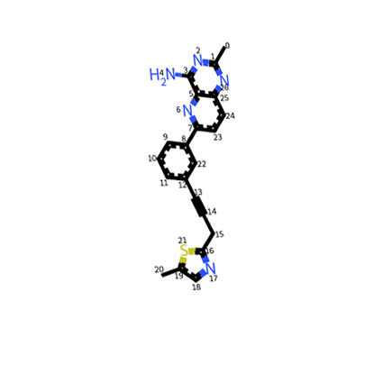 Cc1nc(N)c2nc(-c3cccc(C#CCc4ncc(C)s4)c3)ccc2n1